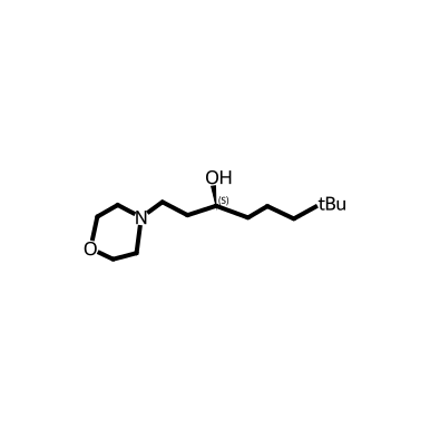 CC(C)(C)CCC[C@H](O)CCN1CCOCC1